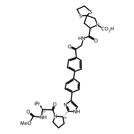 COC(=O)N[C@H](C(=O)N1CCC[C@H]1c1nc(-c2ccc(-c3ccc(C(=O)CNC(=O)C4CC5(CN4C(=O)O)SCCS5)cc3)cc2)c[nH]1)C(C)C